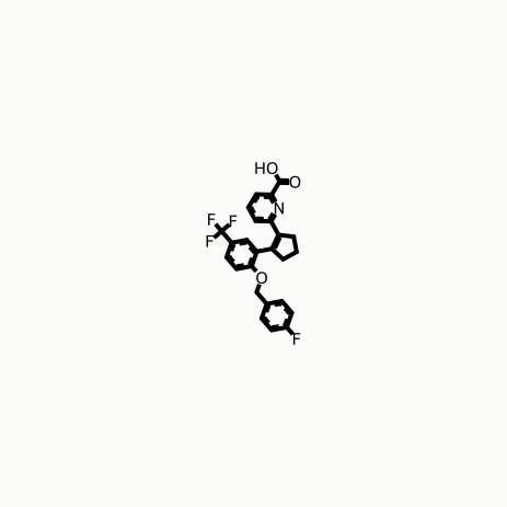 O=C(O)c1cccc(C2=C(c3cc(C(F)(F)F)ccc3OCc3ccc(F)cc3)CCC2)n1